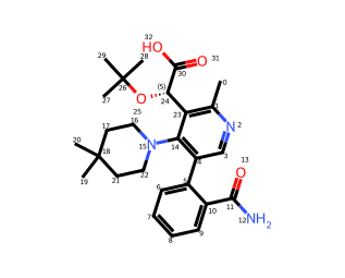 Cc1ncc(-c2ccccc2C(N)=O)c(N2CCC(C)(C)CC2)c1[C@H](OC(C)(C)C)C(=O)O